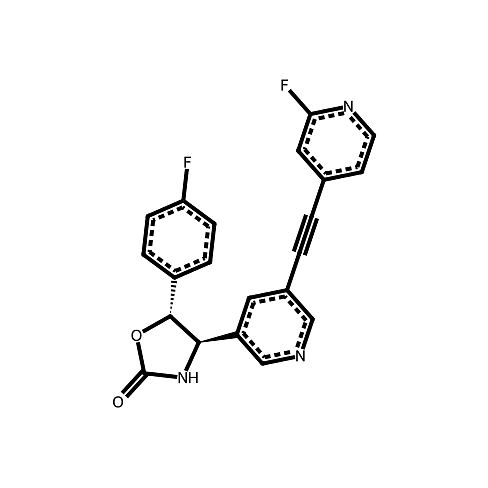 O=C1N[C@H](c2cncc(C#Cc3ccnc(F)c3)c2)[C@@H](c2ccc(F)cc2)O1